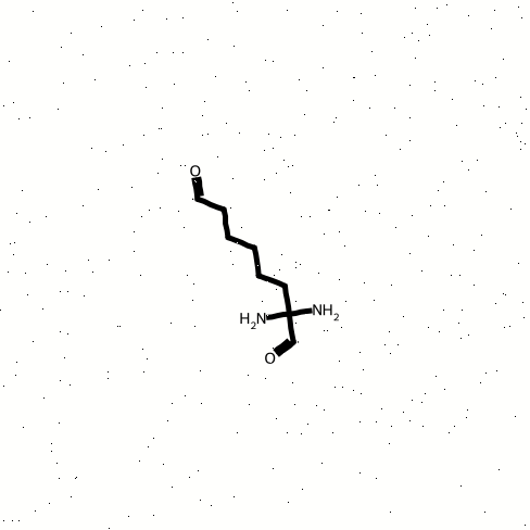 NC(N)([C]=O)CCCCC[C]=O